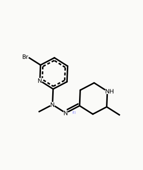 CC1C/C(=N/N(C)c2cccc(Br)n2)CCN1